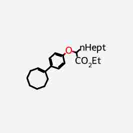 CCCCCCCC(Oc1ccc(C2=CCCCCCC2)cc1)C(=O)OCC